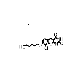 O=c1nc2oc3c(Cl)c(OCCCCCO)ccc3cc-2c(=O)[nH]1